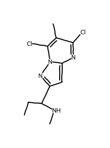 CCC(NC)c1cc2nc(Cl)c(C)c(Cl)n2n1